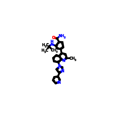 Cc1cc(-c2ccc(C(N)=O)c(NC(C)(C)C)c2)c2cccc(-n3cnc(-c4cccnc4)c3)c2n1